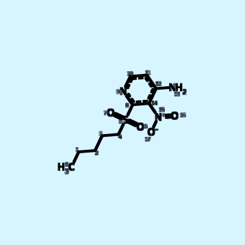 CCCCCS(=O)(=O)c1nccc(N)c1[N+](=O)[O-]